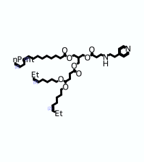 CC/C=C\CCCCOC(CCC(=O)OCC(COC(=O)CCCCCCC/C=C\C/C=C\CCCCC)COC(=O)CCNCCc1ccncc1)OCCCC/C=C\CC